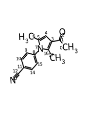 CC(=O)c1cc(C)n(-c2ccc(C#N)cc2)c1C